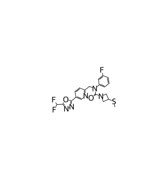 CSC1CN(C(=O)N(Cc2ccc(-c3nnc(C(F)F)o3)cn2)c2cccc(F)c2)C1